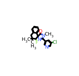 CN1C(=O)C2(N=C1c1cncc(Cl)c1)c1ccccc1CC(C)(C)C2F